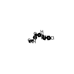 CC(=O)NCCN1CCN(C(=O)c2ccc(Nc3nccc(-c4ccc(Cl)cc4)n3)cc2)CC1